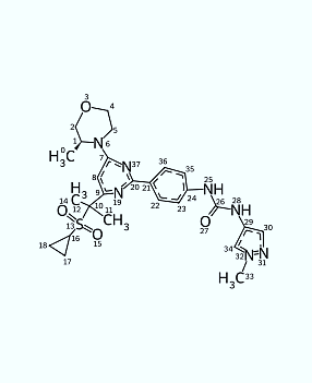 C[C@H]1COCCN1c1cc(C(C)(C)S(=O)(=O)C2CC2)nc(-c2ccc(NC(=O)Nc3cnn(C)c3)cc2)n1